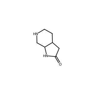 O=C1CC2CCNCC2N1